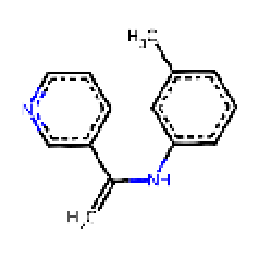 C=C(Nc1cccc(C)c1)c1cccnc1